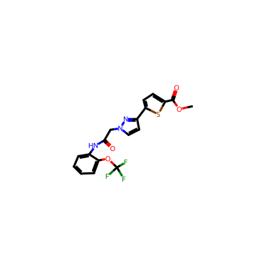 COC(=O)c1ccc(-c2ccn(CC(=O)Nc3ccccc3OC(F)(F)F)n2)s1